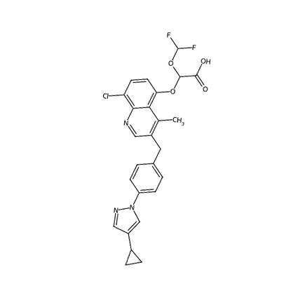 Cc1c(Cc2ccc(-n3cc(C4CC4)cn3)cc2)cnc2c(Cl)ccc(OC(OC(F)F)C(=O)O)c12